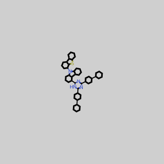 c1ccc(-c2ccc(C3=NC(c4cccc5c4c4ccccc4n5-c4cccc5c4sc4ccccc45)NC(c4ccc(-c5ccccc5)cc4)=N3)cc2)cc1